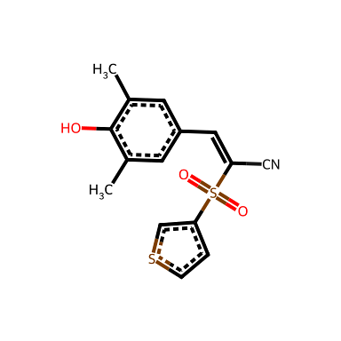 Cc1cc(C=C(C#N)S(=O)(=O)c2ccsc2)cc(C)c1O